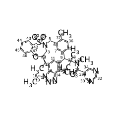 CC[C@@H]1CN(Cc2cc(C(c3ccc4c(nnn4CC)c3C)C(C)(C)N(C)C(=O)c3cncnc3)ccc2C)S(=O)(=O)c2ccccc2O1